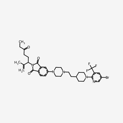 C=C(C)C(CCC(=O)CC)N1C(=O)c2ccc(N3CCN(CCC4CCN(c5ncc(Br)cc5C(F)(F)F)CC4)CC3)cc2C1=O